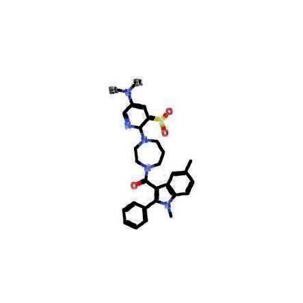 CCN(CC)C1=CC(=S(=O)=O)C(N2CCCN(C(=O)c3c(-c4ccccc4)n(C)c4ccc(C)cc34)CC2)N=C1